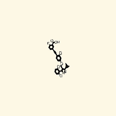 O=C(O)c1cc(C#Cc2ccc(OCc3c(-c4c(Cl)cccc4Cl)noc3C3CC3)cc2Cl)ccc1F